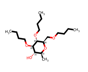 CCCCOC[C@H]1O[C@@H](C)[C@H](O)[C@@H](OCCCC)[C@@H]1OCCCC